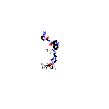 CN(CCCN1CCN(C(=O)OC(C)(C)C)CC1)c1ccc2nccc(C(=O)NCC(=O)N3CCC[C@H]3C#N)c2c1